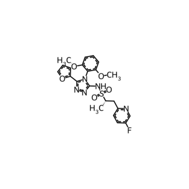 COc1cccc(OC)c1-n1c(NS(=O)(=O)[C@@H](C)Cc2ccc(F)cn2)nnc1-c1ccco1